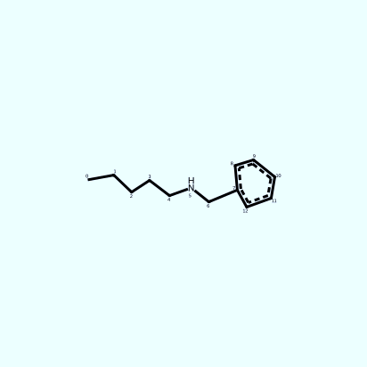 CCCCCNCc1c[c]ccc1